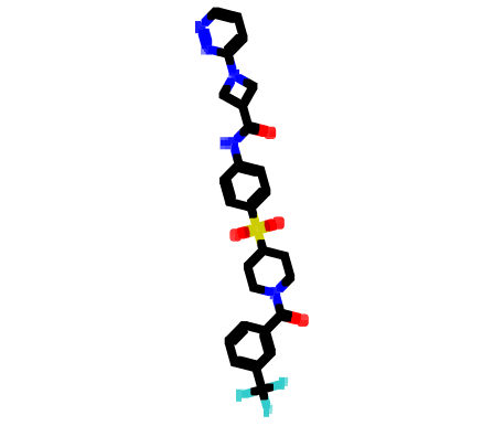 O=C(Nc1ccc(S(=O)(=O)C2CCN(C(=O)c3cccc(C(F)(F)F)c3)CC2)cc1)C1CN(c2cccnn2)C1